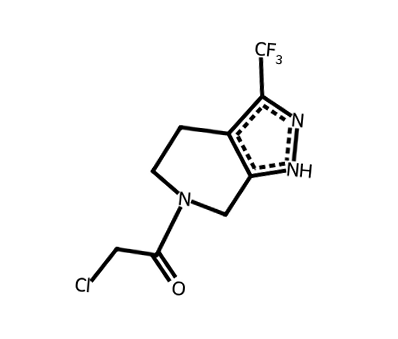 O=C(CCl)N1CCc2c(C(F)(F)F)n[nH]c2C1